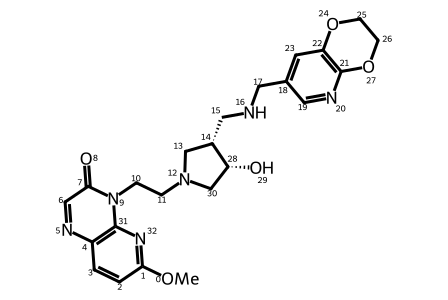 COc1ccc2ncc(=O)n(CCN3C[C@H](CNCc4cnc5c(c4)OCCO5)[C@H](O)C3)c2n1